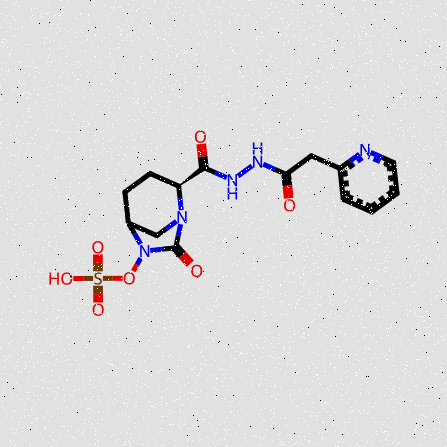 O=C(Cc1ccccn1)NNC(=O)[C@@H]1CCC2CN1C(=O)N2OS(=O)(=O)O